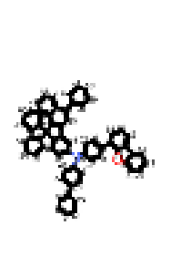 c1ccc(-c2ccc(N(c3ccc(-c4cccc5c4oc4ccccc45)cc3)c3ccc4c(c3)-c3cc(-c5ccccc5)c5ccccc5c3C4(c3ccccc3)c3ccccc3)cc2)cc1